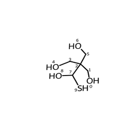 OCC(CO)(CO)C(O)S